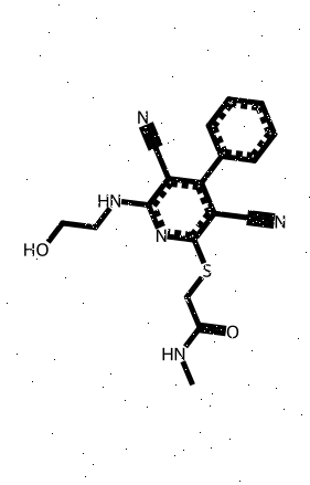 CNC(=O)CSc1nc(NCCO)c(C#N)c(-c2ccccc2)c1C#N